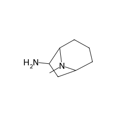 CN1C2CCCC1C(N)C2